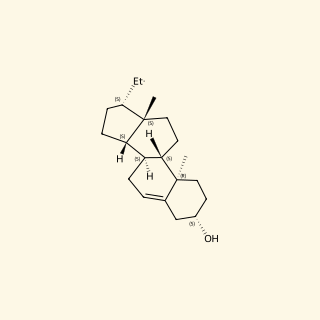 C[CH][C@H]1CC[C@H]2[C@@H]3CC=C4C[C@@H](O)CC[C@]4(C)[C@H]3CC[C@@]12C